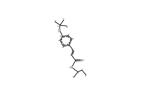 CCC(C)OC(=O)C=Cc1ccc(OC(C)(C)C)cc1